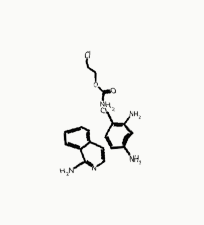 NC(=O)OCCCl.Nc1ccc(Cl)c(N)c1.Nc1nccc2ccccc12